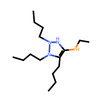 CCCCC1=C(PCC)NN(CCCC)N1CCCC